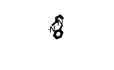 c1ccc2c(c1)Cn1cccc1C[N]2